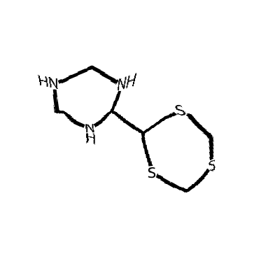 C1NCNC(C2SCSCS2)N1